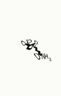 COC(=O)C1CCN(CCCC(N)=O)C1=O